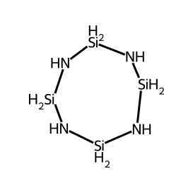 N1[SiH2]N[SiH2]N[SiH2]N[SiH2]1